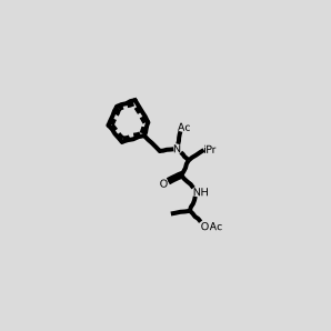 CC(=O)OC(C)NC(=O)C(C(C)C)N(Cc1ccccc1)C(C)=O